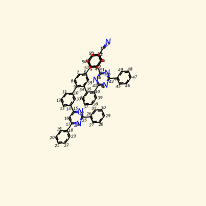 N#Cc1ccc(-c2ccc(-c3cccc(-c4cc(-c5ccccc5)nc(-c5ccccc5)n4)c3)c(-c3ccccc3-c3nc(-c4ccccc4)nc(-c4ccccc4)n3)c2)cc1